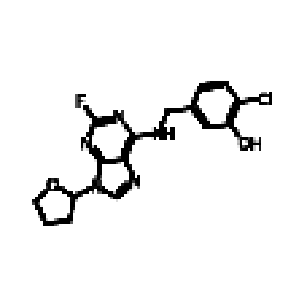 Oc1cc(CNc2nc(F)nc3c2ncn3C2CCCO2)ccc1Cl